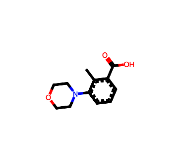 Cc1c(C(=O)O)cccc1N1CCOCC1